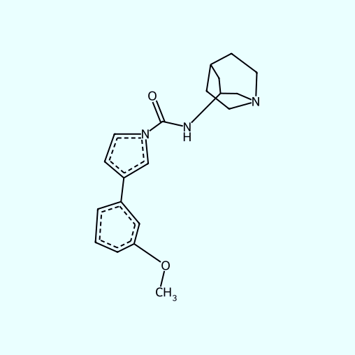 COc1cccc(-c2ccn(C(=O)NC3CC4CCN(CC4)C3)c2)c1